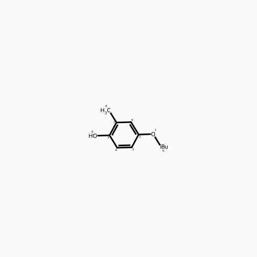 CCC(C)Oc1ccc(O)c(C)c1